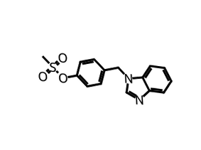 CS(=O)(=O)Oc1ccc(Cn2cnc3ccccc32)cc1